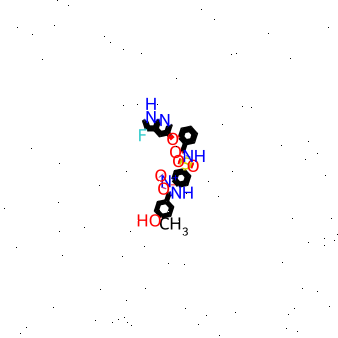 CC1(O)CCC(CNc2ccc(S(=O)(=O)NC(=O)c3ccccc3Oc3cnc4[nH]cc(F)c4c3)cc2[N+](=O)[O-])CC1